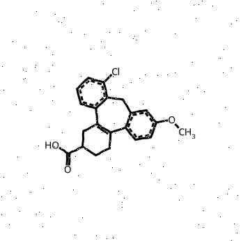 COc1ccc2c(c1)Cc1c(Cl)cccc1C1=C2CCC(C(=O)O)C1